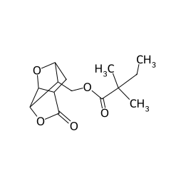 CCC(C)(C)C(=O)OCC1C2CC3C(=O)OC1C3O2